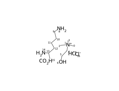 C[N+](C)(C)CCO.Cl.NCCCCC(N)C(=O)O.[Cl-]